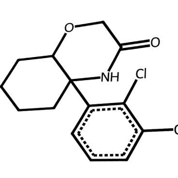 O=C1COC2CCCCC2(c2cccc(Cl)c2Cl)N1